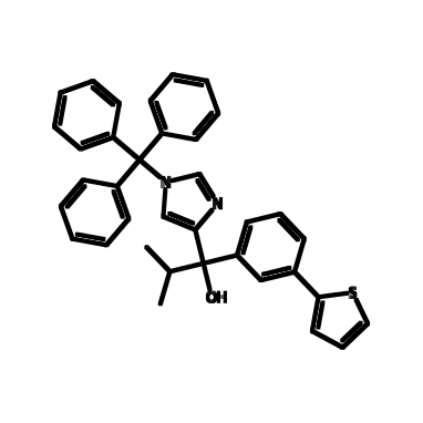 CC(C)C(O)(c1cccc(-c2cccs2)c1)c1cn(C(c2ccccc2)(c2ccccc2)c2ccccc2)cn1